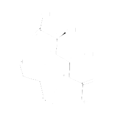 NCCO.O=C(O)[C@@H](O)[C@@H](O)[C@H](O)[C@@H](O)C(=O)O